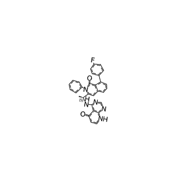 C[C@H](Nc1ncnc2[nH]ccc(=O)c12)c1cc2cccc(-c3ccc(F)cc3)c2c(=O)n1-c1ccccc1